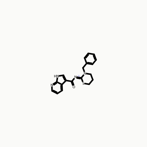 O=C(/N=C1\SCCCN1Cc1ccccc1)c1c[nH]c2ncccc12